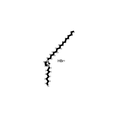 Br.CCCCCCCCCCCCCCCCCCN1C=CN(CCCCCCCCC)C1